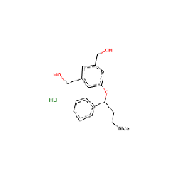 CNCCC(Oc1cc(CO)cc(CO)c1)c1ccccc1.Cl